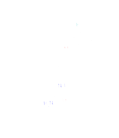 NC(=O)CNCCc1cccc(OCc2cccc(F)c2)c1